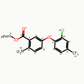 CCCCCOC(=O)c1cc(Oc2ccc(C(F)(F)F)cc2Cl)ccc1[N+](=O)[O-]